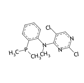 CN(c1ccccc1P(C)C)c1nc(Cl)ncc1Cl